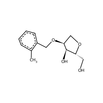 Cc1ccccc1CO[C@H]1CO[C@H](CO)[C@H]1O